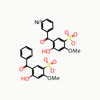 COc1cc(O)c(C(=O)c2ccccc2)cc1S(=O)(=O)[O-].COc1cc(O)c(C(=O)c2ccccc2)cc1S(=O)(=O)[O-].[Ni+2]